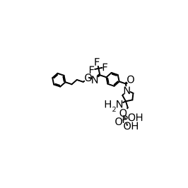 NC1(COP(=O)(O)O)CCN(C(=O)c2ccc(/C(=N/OCCCc3ccccc3)C(F)(F)F)cc2)C1